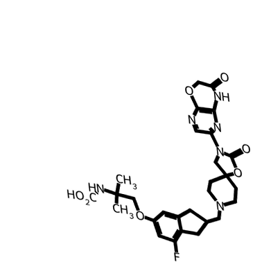 CC(C)(COc1cc(F)c2c(c1)CC(CN1CCC3(CC1)CN(c1cnc4c(n1)NC(=O)CO4)C(=O)O3)C2)NC(=O)O